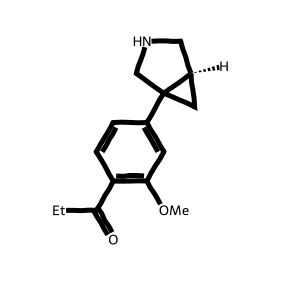 CCC(=O)c1ccc(C23CNC[C@H]2C3)cc1OC